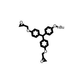 CCCCOc1ccc(C(c2ccc(OCC3CO3)cc2)c2ccc(OCC3CO3)cc2)cc1